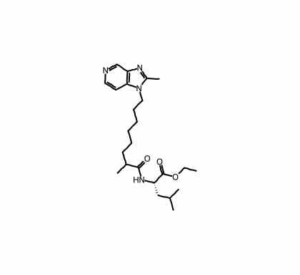 CCOC(=O)[C@H](CC(C)C)NC(=O)C(C)CCCCCCn1c(C)nc2cnccc21